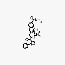 CN(C)C(CNC(=O)C1CCCN1c1ccccc1)Cc1ccc(C(N)=O)cc1